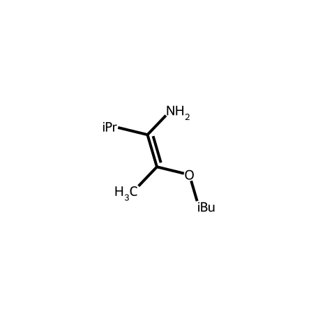 CCC(C)O/C(C)=C(\N)C(C)C